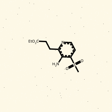 CCOC(=O)CCc1nccc(S(C)(=O)=O)c1N